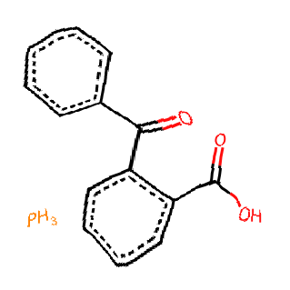 O=C(O)c1ccccc1C(=O)c1ccccc1.P